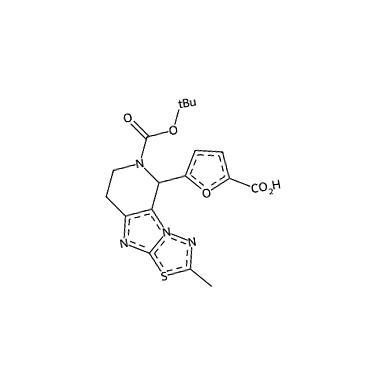 Cc1nn2c3c(nc2s1)CCN(C(=O)OC(C)(C)C)C3c1ccc(C(=O)O)o1